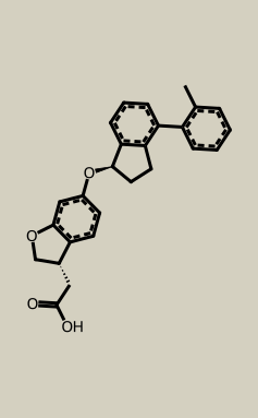 Cc1ccccc1-c1cccc2c1CC[C@H]2Oc1ccc2c(c1)OC[C@H]2CC(=O)O